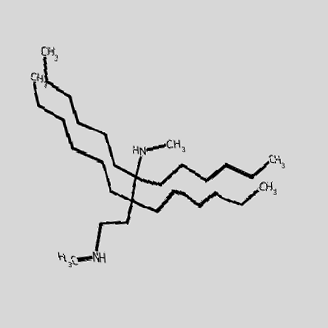 CCCCCCC(CCCCCC)(CCNC)C(CCCCCC)(CCCCCC)NC